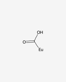 O=[C](O)[Eu]